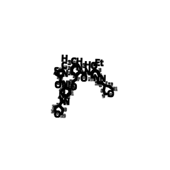 CCOc1cc2nc(C3CCOCC3)cn2cc1NC(=O)c1nc(C)ccc1CCOc1cc2nc(C3CCOCC3)cn2cc1NC(=O)c1csc(C)n1